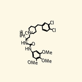 COc1cc(NC(=O)N[C@@H](C[N+]2(C)CCC(Cc3ccc(Cl)c(Cl)c3)CC2)C(C)C)cc(OC)c1OC.[I-]